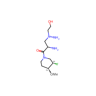 CO[C@H]1CCN(C(=O)C(N)CN(N)CCO)C[C@H]1F